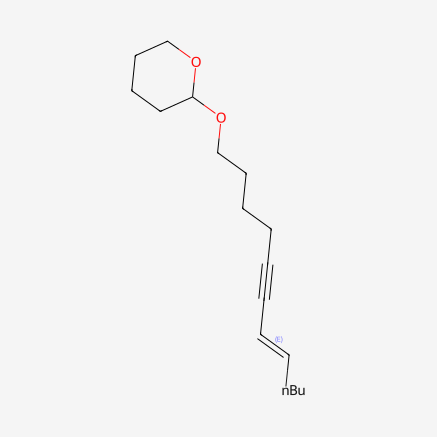 CCCC/C=C/C#CCCCCOC1CCCCO1